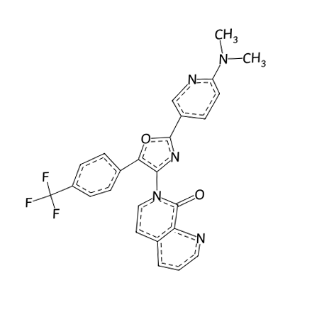 CN(C)c1ccc(-c2nc(-n3ccc4cccnc4c3=O)c(-c3ccc(C(F)(F)F)cc3)o2)cn1